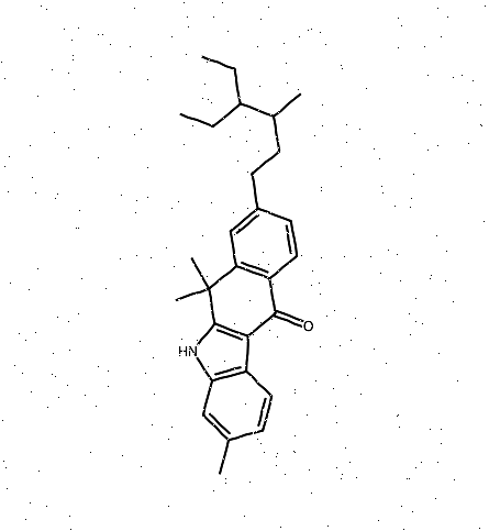 CCC(CC)C(C)CCc1ccc2c(c1)C(C)(C)c1[nH]c3cc(C)ccc3c1C2=O